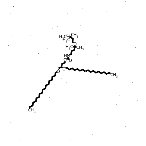 CCCCCCCCCCCCCCCCCCOCC(CCOC(=O)NCCCC(C)(C)OCCC(C)(C)OC)OCCCCCCCCCCCCCCCCCC